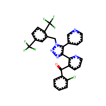 O=C(c1ccccc1Cl)c1cccnc1-c1nnn(Cc2cc(C(F)(F)F)ccc2C(F)(F)F)c1-c1cccnc1